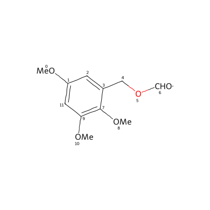 COc1cc(CO[C]=O)c(OC)c(OC)c1